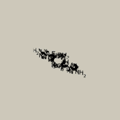 B[P@]1(=O)OC[C@H]2O[C@@H](n3cnc4c(N)ccnc43)[C@H](F)[C@@H]2O[P@](C)(=O)OC[C@H]2O[C@@H](n3cnc4c(N)ncnc43)[C@H](F)[C@@H]2O1